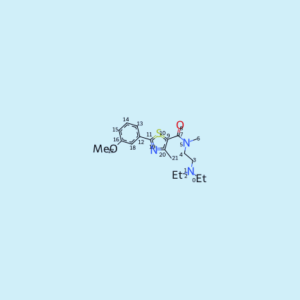 CCN(CC)CCN(C)C(=O)c1sc(-c2cccc(OC)c2)nc1C